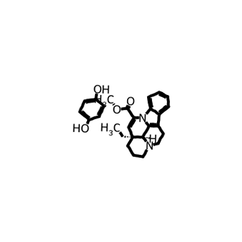 CC[C@@]12C=C(C(=O)OC)n3c4c(c5ccccc53)CCN(CCC1)[C@H]42.Oc1ccc(O)cc1